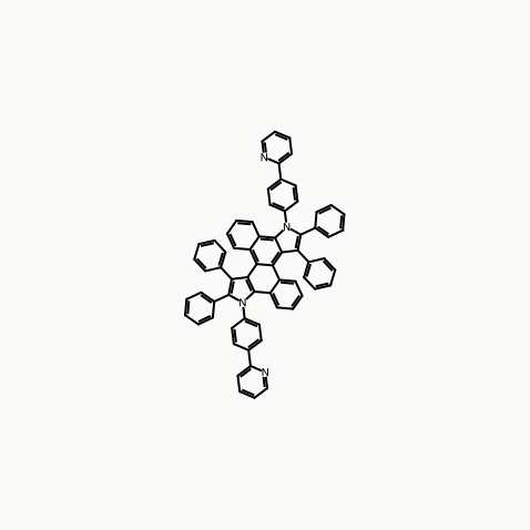 c1ccc(-c2c(-c3ccccc3)n(-c3ccc(-c4ccccn4)cc3)c3c4ccccc4c4c5c(-c6ccccc6)c(-c6ccccc6)n(-c6ccc(-c7ccccn7)cc6)c5c5ccccc5c4c23)cc1